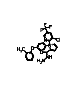 Cc1ccccc1Oc1ccc([N+]2(c3ncc(C(F)(F)F)cc3Cl)C=CC=C2C(=O)NN)cc1